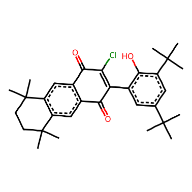 CC(C)(C)c1cc(C2=C(Cl)C(=O)c3cc4c(cc3C2=O)C(C)(C)CCC4(C)C)c(O)c(C(C)(C)C)c1